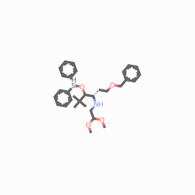 COC(CN[C@@H](CCOCc1ccccc1)C(O[SiH](c1ccccc1)c1ccccc1)C(C)(C)C)OC